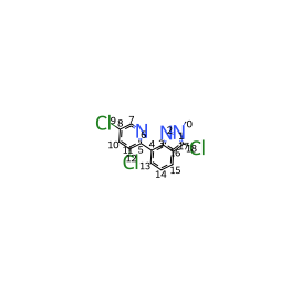 Cn1nc2c(-c3ncc(Cl)cc3Cl)cccc2c1Cl